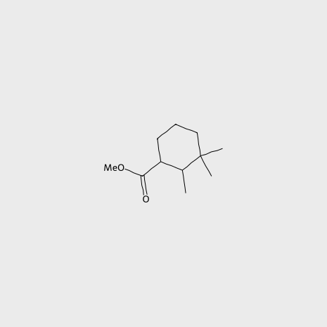 COC(=O)C1CCCC(C)(C)C1C